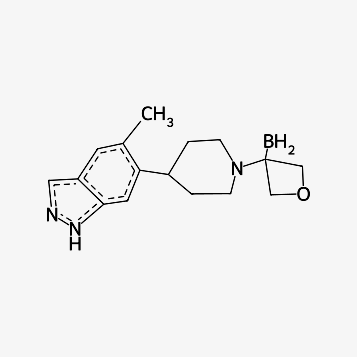 BC1(N2CCC(c3cc4[nH]ncc4cc3C)CC2)COC1